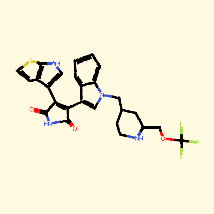 O=C1NC(=O)C(c2cn(CC3CCNC(COC(F)(F)F)C3)c3ccccc23)=C1c1c[nH]c2sccc12